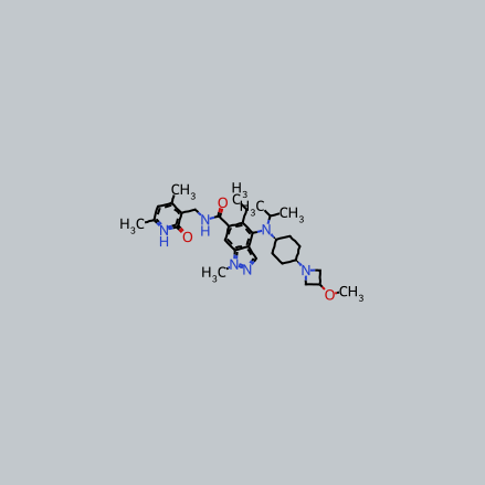 CCc1c(C(=O)NCc2c(C)cc(C)[nH]c2=O)cc2c(cnn2C)c1N(C(C)C)[C@H]1CC[C@@H](N2CC(OC)C2)CC1